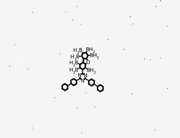 Bc1c(B)c(B)c2c(oc3c(B)c(-c4nc(-c5ccc(-c6ccccc6)cc5)nc(-c5ccc(-c6ccccc6)cc5)n4)c(B)c(B)c32)c1B